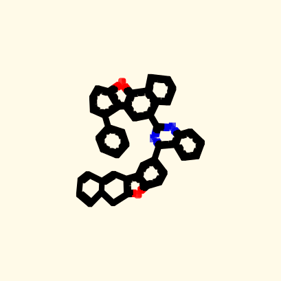 C1=CC2=Cc3c(oc4ccc(-c5nc(-c6cc7c(oc8cccc(-c9ccccc9)c87)c7ccccc67)nc6ccccc56)cc34)CC2C=C1